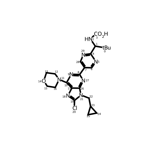 CC(C)(C)C(NC(=O)O)c1ncc(-c2nc(N3CCOCC3)c3nc(Cl)n(CC4CC4)c3n2)cn1